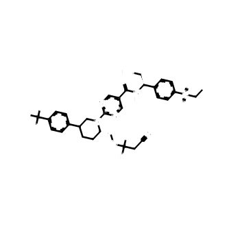 CCS(=O)(=O)c1ccc([C@H](CO)NC(=O)c2cnc(N3CC(c4ccc(C(F)(F)F)cc4)CC[C@H]3COC(F)(F)CC#N)nc2)cc1